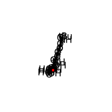 CC(C)(C)OC(=O)NCCOCCOCCOCCOCCC(=O)NCC(O)C[n+]1cccc(CC(O)(P(=O)(O)O)P(=O)(O)O)c1